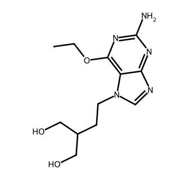 CCOc1nc(N)nc2ncn(CCC(CO)CO)c12